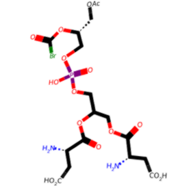 CC(=O)OC[C@H](COP(=O)(O)OCC(COC(=O)[C@@H](N)CC(=O)O)OC(=O)[C@@H](N)CC(=O)O)OC(=O)Br